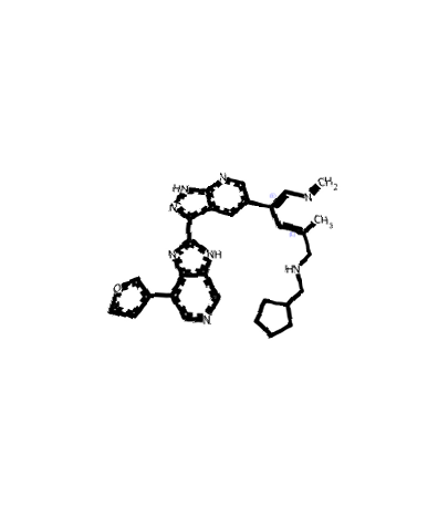 C=N/C=C(\C=C(/C)CNCC1CCCC1)c1cnc2[nH]nc(-c3nc4c(-c5ccoc5)cncc4[nH]3)c2c1